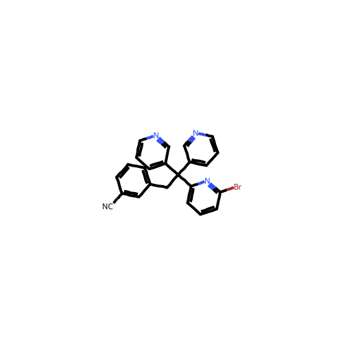 N#Cc1cccc(CC(c2cccnc2)(c2cccnc2)c2cccc(Br)n2)c1